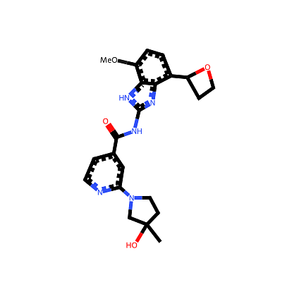 COc1ccc(C2CCO2)c2nc(NC(=O)c3ccnc(N4CCC(C)(O)C4)c3)[nH]c12